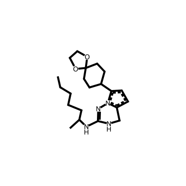 CCCCCC(C)NC1=Nn2c(ccc2C2CCC3(CC2)OCCO3)CN1